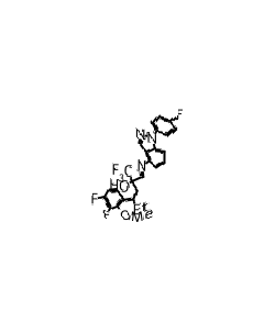 CCC(CC(O)(C=Nc1cccc2c1cnn2-c1ccc(F)cc1)C(F)(F)F)c1ccc(F)c(F)c1OC